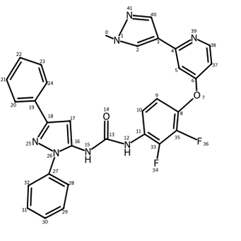 Cn1cc(-c2cc(Oc3ccc(NC(=O)Nc4cc(-c5ccccc5)nn4-c4ccccc4)c(F)c3F)ccn2)cn1